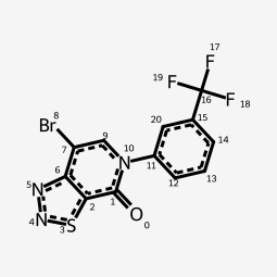 O=c1c2snnc2c(Br)cn1-c1cccc(C(F)(F)F)c1